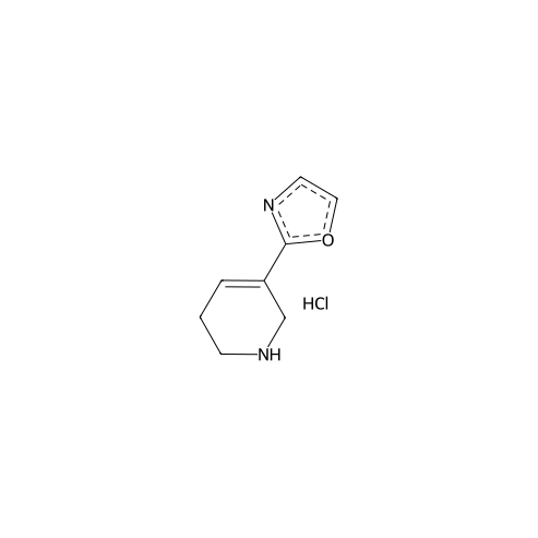 C1=C(c2ncco2)CNCC1.Cl